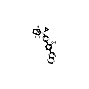 Oc1cc(-c2cnc3c(n2)OCCO3)ccc1-c1ncc(N(C2CC2)[C@H]2C[C@@H]3CC[C@@H](N3)[C@H]2F)nn1